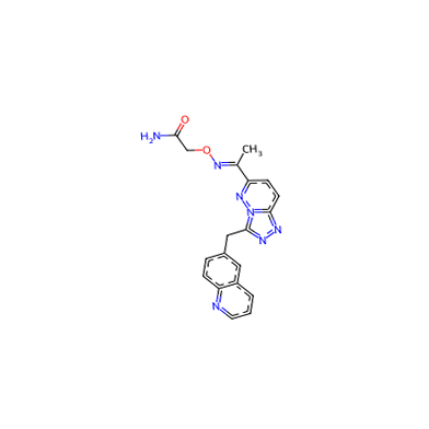 CC(=NOCC(N)=O)c1ccc2nnc(Cc3ccc4ncccc4c3)n2n1